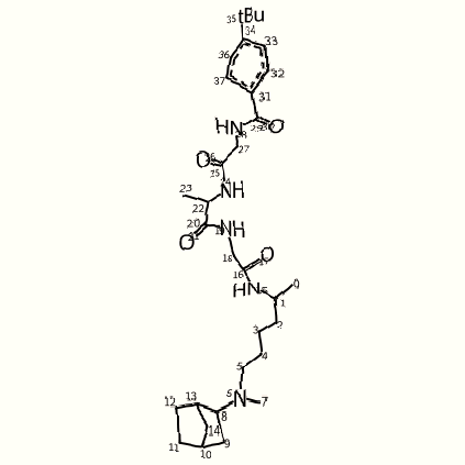 CC(CCCCN(C)C1CC2CCC1C2)NC(=O)CNC(=O)C(C)NC(=O)CNC(=O)c1ccc(C(C)(C)C)cc1